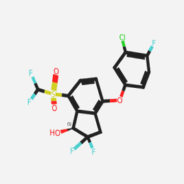 O=S(=O)(c1ccc(Oc2ccc(F)c(Cl)c2)c2c1[C@H](O)C(F)(F)C2)C(F)F